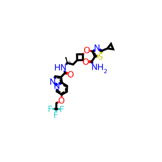 C[C@@H](CC1CC(Oc2nc(C3CC3)sc2C(N)=O)C1)NC(=O)c1cnn2cc(OCC(F)(F)F)ccc12